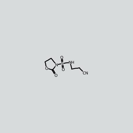 N#CCCNS(=O)(=O)N1CCOC1=O